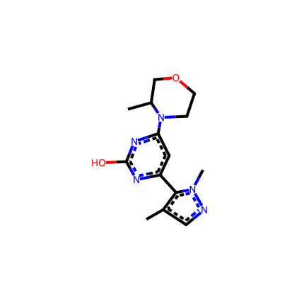 Cc1cnn(C)c1-c1cc(N2CCOCC2C)nc(O)n1